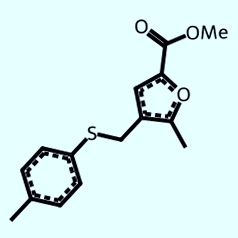 COC(=O)c1cc(CSc2ccc(C)cc2)c(C)o1